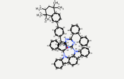 CC1CC(C)(C)c2ccc(-c3ccc(-c4ccc(-n5c6ccccc6c6ccc7c8ccccc8n(-c8nc(-c9ccccc9)nc(-c9ccccc9-c9ccccc9)n8)c7c65)cc4)cc3)cc2C1(C)C